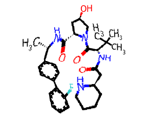 C[C@H](NC(=O)[C@@H]1C[C@@H](O)CN1C(=O)[C@@H](NC(=O)C[C@H]1CCCCN1)C(C)(C)C)c1ccc(-c2ccccc2F)cc1